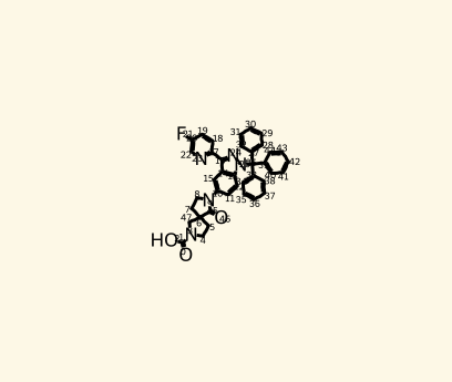 O=C(O)N1CCC2(CCN(c3ccc4c(c3)c(-c3ccc(F)cn3)nn4C(c3ccccc3)(c3ccccc3)c3ccccc3)C2=O)C1